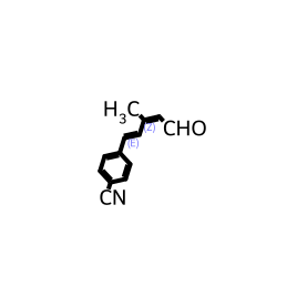 CC(=C/C=O)/C=C/c1ccc(C#N)cc1